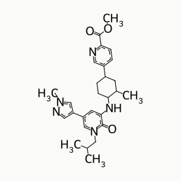 COC(=O)c1ccc(C2CCC(Nc3cc(-c4cnn(C)c4)cn(CC(C)C)c3=O)C(C)C2)cn1